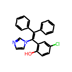 Oc1ccc(Cl)cc1C(=C(c1ccccc1)c1ccccc1)n1ccnc1